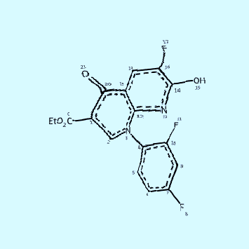 CCOC(=O)c1cn(-c2ccc(F)cc2F)c2nc(O)c(F)cc2c1=O